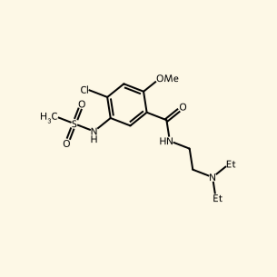 CCN(CC)CCNC(=O)c1cc(NS(C)(=O)=O)c(Cl)cc1OC